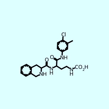 Cc1cc(NC(=O)C(CCNC(=O)O)NC(=O)C2Cc3ccccc3CN2)ccc1Cl